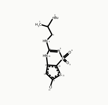 CCCCC(C)CNC1=NS(=O)(=O)c2sc(Cl)cc2N1